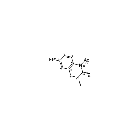 CCc1ccc2c(c1)C[C@@H](C)[C@H](C)N2C(C)=O